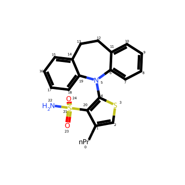 CCCc1csc(N2c3ccccc3CCc3ccccc32)c1S(N)(=O)=O